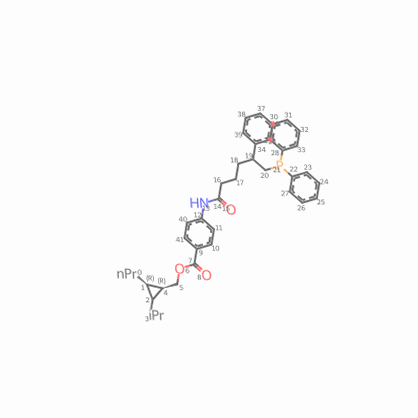 CCC[C@@H]1C(C(C)C)[C@@H]1COC(=O)c1ccc(NC(=O)CCCC(CP(c2ccccc2)c2ccccc2)c2ccccc2)cc1